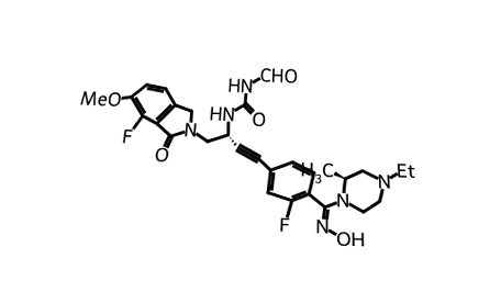 CCN1CCN(/C(=N\O)c2ccc(C#C[C@H](CN3Cc4ccc(OC)c(F)c4C3=O)NC(=O)NC=O)cc2F)[C@@H](C)C1